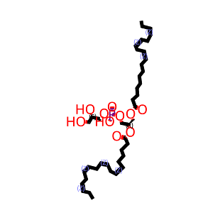 CC/C=C\C/C=C\C/C=C\C/C=C\CCCCC(=O)O[C@H](COC(=O)CCCCCCC/C=C\C/C=C\C/C=C\CC)COP(=O)(O)OC[C@@H](O)CO